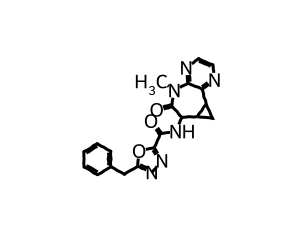 CN1C(=O)C(NC(=O)c2nnc(Cc3ccccc3)o2)C2CC2c2nccnc21